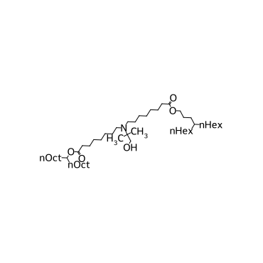 CCCCCCCCC(CCCCCCCC)OC(=O)CCCCCCCN(CCCCCCCC(=O)OCCCC(CCCCCC)CCCCCC)C(C)(C)CO